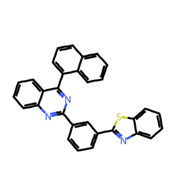 c1cc(-c2nc(-c3cccc4ccccc34)c3ccccc3n2)cc(-c2nc3ccccc3s2)c1